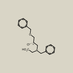 O=C(O)CN(Cc1ccccc1)C[C@H](Cl)COCc1ccccc1